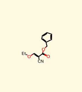 CCOC=C(C#N)C(=O)OCc1ccccc1